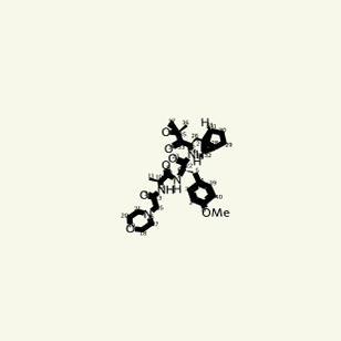 COc1ccc(C[C@H](NC(=O)[C@H](C)NC(=O)CN2CCOCC2)C(=O)N[C@@H](C[C@]23C4CC[C@@H]2[C@H]43)C(=O)[C@@]2(C)CO2)cc1